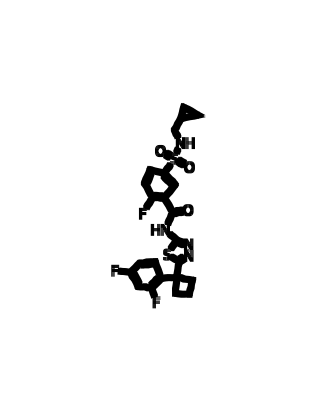 O=C(Nc1nnc(C2(c3ccc(F)cc3F)CCC2)s1)c1cc(S(=O)(=O)NCC2CC2)ccc1F